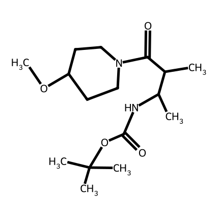 COC1CCN(C(=O)C(C)C(C)NC(=O)OC(C)(C)C)CC1